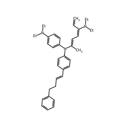 C=C/C(=C\C=C(/C)N(c1ccc(/C=C/CCc2ccccc2)cc1)c1ccc(N(CC)CC)cc1)N(CC)CC